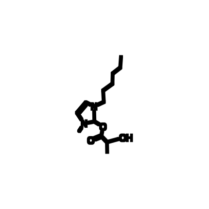 CCCCCCN1C=CN(C)C1OC(=O)C(C)O